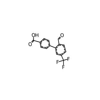 O=Cc1ccc(C(F)(F)F)cc1-c1ccc(C(=O)O)cc1